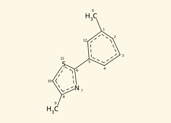 Cc1cccc(-c2nc(C)cs2)c1